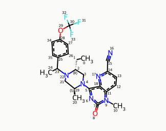 CC[C@@H]1CN(c2nc(=O)n(C)c3ccc(C#N)nc23)[C@@H](C)CN1C(C)c1ccc(OC(F)(F)F)cc1